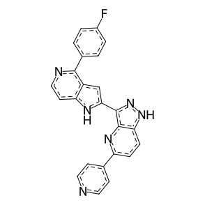 Fc1ccc(-c2nccc3[nH]c(-c4n[nH]c5ccc(-c6ccncc6)nc45)cc23)cc1